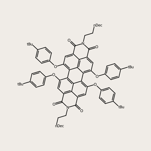 CCCCCCCCCCCCN1C(=O)c2cc(Oc3ccc(C(C)(C)C)cc3)c3c4c(Oc5ccc(C(C)(C)C)cc5)cc5c6c(cc(Oc7ccc(C(C)(C)C)cc7)c(c7c(Oc8ccc(C(C)(C)C)cc8)cc(c2c37)C1=O)c64)C(=O)N(CCCCCCCCCCCC)C5=O